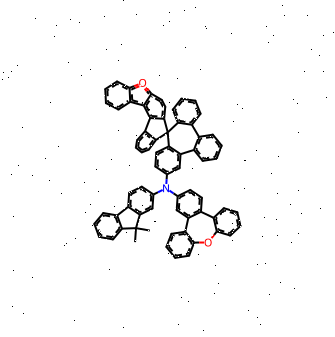 CC1(C)c2ccccc2-c2ccc(N(c3ccc4c(c3)-c3ccccc3Oc3ccccc3-4)c3ccc4c(c3)-c3ccccc3-c3ccccc3C43c4ccccc4-c4c3ccc3oc5ccccc5c43)cc21